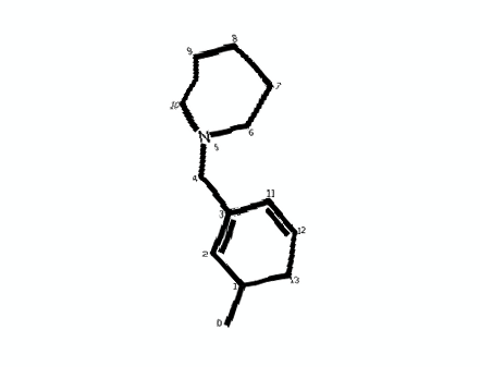 CC1C=C(CN2CCCCC2)C=CC1